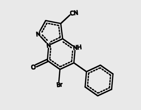 N#Cc1cnn2c(=O)c(Br)c(-c3ccccc3)[nH]c12